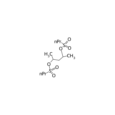 CCCS(=O)(=O)OC(C)CC(C)OS(=O)(=O)CCC